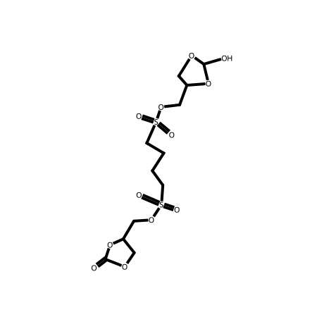 O=C1OCC(COS(=O)(=O)CCCCS(=O)(=O)OCC2COC(O)O2)O1